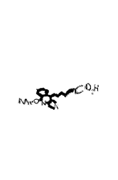 COC1=Nc2ccncc2C(=CCCCCC(=O)O)c2ccccc21